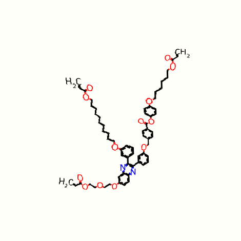 C=CC(=O)OCCCCCCCCCCCOc1cccc(-c2nc3cc(OCCOCCOC(=O)C=C)ccc3nc2-c2cccc(OCc3ccc(C(=O)Oc4ccc(OCCCCCCOC(=O)C=C)cc4)cc3)c2)c1